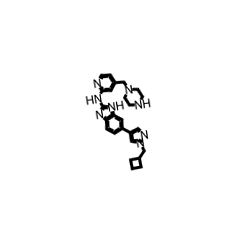 c1cc(CN2CCNCC2)cc(Nc2nc3ccc(-c4cnn(CC5CCC5)c4)cc3[nH]2)n1